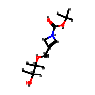 CC(C)(C)OC(=O)N1C=C(BOC(C)(C)C(C)(C)O)C1